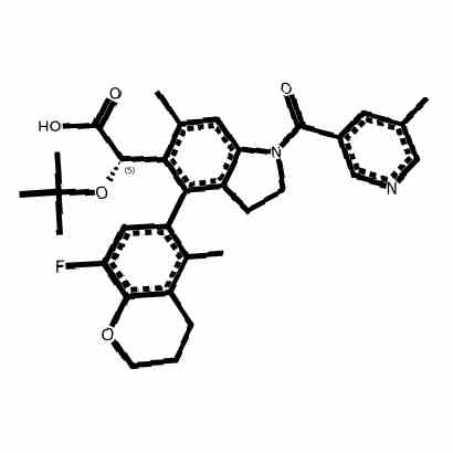 Cc1cncc(C(=O)N2CCc3c2cc(C)c([C@H](OC(C)(C)C)C(=O)O)c3-c2cc(F)c3c(c2C)CCCO3)c1